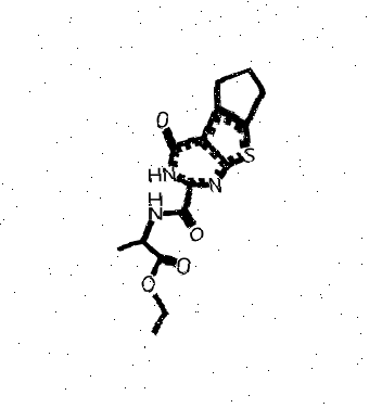 CCOC(=O)C(C)NC(=O)c1nc2sc3c(c2c(=O)[nH]1)CCC3